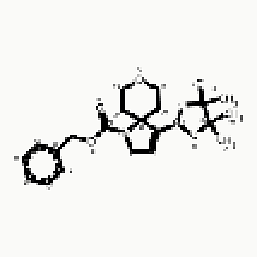 CC1(C)OB(C2=CCN(C(=O)OCc3ccccc3)C23CCOCC3)OC1(C)C